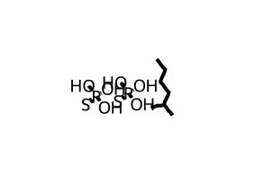 CCCCC(C)C.OP(O)(O)=S.OP(O)(O)=S